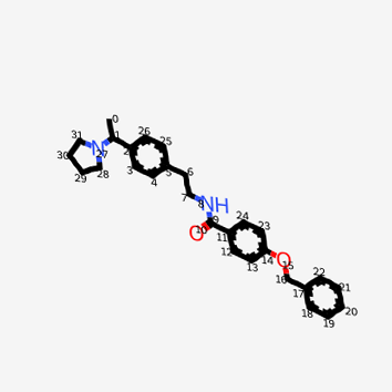 CC(c1ccc(CCNC(=O)c2ccc(OCc3ccccc3)cc2)cc1)N1CCCC1